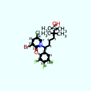 CC(C)(CCCC(c1cc(F)c(F)c(F)c1)n1cc(Cl)cc(Br)c1=O)[Si](C)(C)O